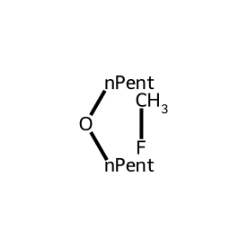 CCCCCOCCCCC.CF